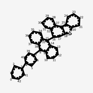 c1ccc(-c2ccc(-c3c4ccccc4c(-c4cc5sc6ccccc6c5c5ccccc45)c4ccccc34)cc2)cc1